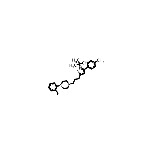 Cc1ccc(-c2cc(CCCN3CCN(c4ccccc4F)CC3)nn2C(C)(C)C)cc1